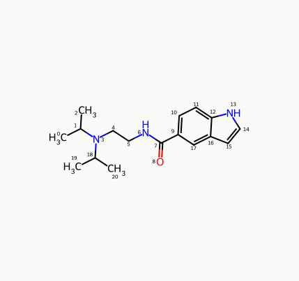 CC(C)N(CCNC(=O)c1ccc2[nH]ccc2c1)C(C)C